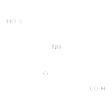 O=C(O)C=CC(=O)NCCS(=O)(=O)O